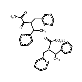 CC(c1ccccc1)N(Cc1ccccn1)C(=O)C(N)=O.CCOC(=O)C(=O)N(Cc1ccccn1)C(C)c1ccccc1